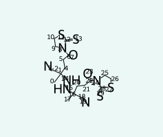 CC(C#N)(CCC(=O)N1CCSC1=S)NNC(C)(C#N)CCC(=O)N1CCSC1=S